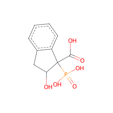 O=C(O)C1(P(=O)(O)O)c2ccccc2CC1O